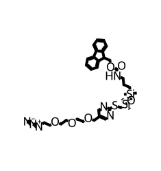 C[Si](C)(CCCNC(=O)OCC1c2ccccc2-c2ccccc21)O[Si](C)(C)CSc1ncc(COCCOCCOCCN=[N+]=[N-])cn1